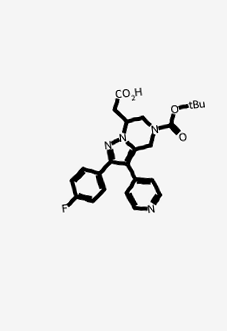 CC(C)(C)OC(=O)N1Cc2c(-c3ccncc3)c(-c3ccc(F)cc3)nn2C(CC(=O)O)C1